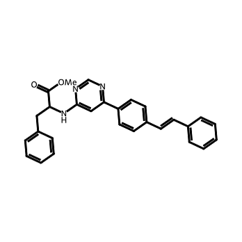 COC(=O)C(Cc1ccccc1)Nc1cc(-c2ccc(/C=C/c3ccccc3)cc2)ncn1